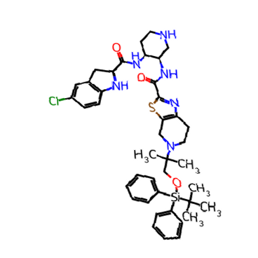 CC(C)(CO[Si](c1ccccc1)(c1ccccc1)C(C)(C)C)N1CCc2nc(C(=O)N[C@@H]3CNCC[C@@H]3NC(=O)C3Cc4cc(Cl)ccc4N3)sc2C1